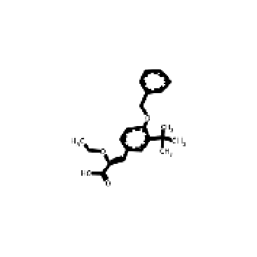 CCOC(=Cc1ccc(OCc2ccccc2)c(C(C)(C)C)c1)C(=O)O